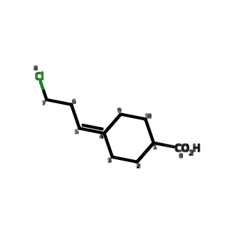 O=C(O)C1CCC(=CCCCl)CC1